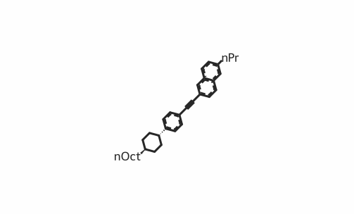 CCCCCCCC[C@H]1CC[C@H](c2ccc(C#Cc3ccc4cc(CCC)ccc4c3)cc2)CC1